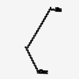 [CH2]CCCCCCCCCCCCCCCCCCCCCCCCCCC(C)CCCCCCCCCCCCCCCCCCCCCCCCCCCCCCCCC(C)CCCC(C)[CH]C